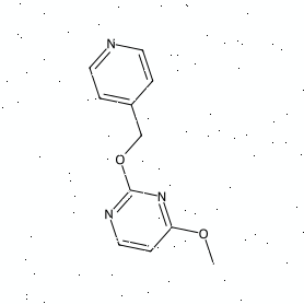 COc1ccnc(OCc2ccncc2)n1